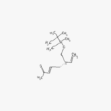 [CH2]C(=O)C=CC[C@@H](C=C)CO[Si](C)(C)C(C)(C)C